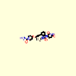 Cn1c(=O)n(C2CCC(=O)NC2=O)c2cccc(C#CCOC3CCN(C(N)=O)CC3)c21